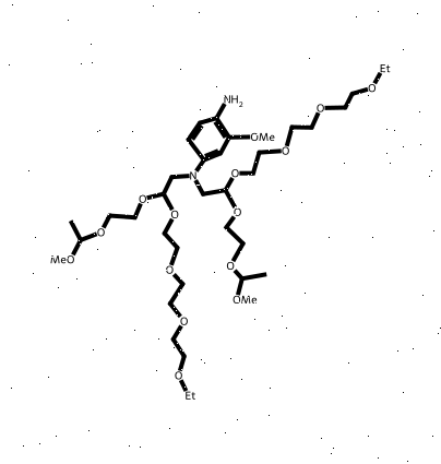 CCOCCOCCOCCOC(CN(CC(OCCOCCOCCOCC)OCCOC(C)OC)c1ccc(N)c(OC)c1)OCCOC(C)OC